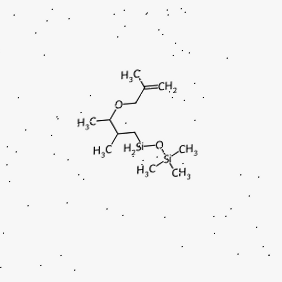 C=C(C)COC(C)C(C)C[SiH2]O[Si](C)(C)C